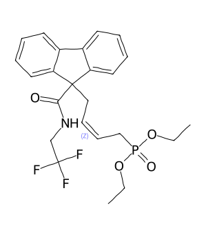 CCOP(=O)(C/C=C\CC1(C(=O)NCC(F)(F)F)c2ccccc2-c2ccccc21)OCC